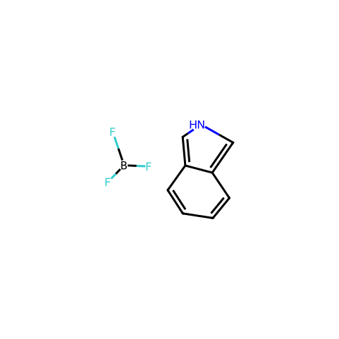 FB(F)F.c1ccc2c[nH]cc2c1